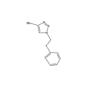 CC(C)(C)c1cn(CSc2ccccc2)nn1